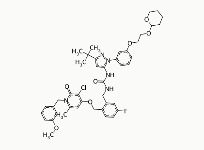 COc1cccc(Cn2c(C)cc(OCc3ccc(F)cc3CNC(=O)Nc3cc(C(C)(C)C)nn3-c3cccc(OCCOC4CCCCO4)c3)c(Cl)c2=O)c1